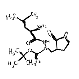 CC(C)CC(N)C(=O)NN(CC1CCNC1=O)C(=O)OC(C)(C)C